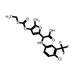 CCOC(=O)Oc1cc(C(Nc2ccc(Cl)c(C(F)(F)F)c2)C(=O)O)oc1C